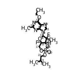 CCOc1nc(C)nc2c1ncn2[C@@H]1O[C@]2(F)COP(=O)(OCC(C)C)O[C@H]2[C@@]1(C)F